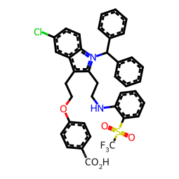 O=C(O)c1ccc(OCCc2c(CCNc3ccccc3S(=O)(=O)C(F)(F)F)n(C(c3ccccc3)c3ccccc3)c3ccc(Cl)cc23)cc1